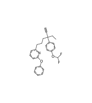 C#CC(CC)(CCCc1cccc(Oc2ccccc2)n1)c1ccc(OC(F)F)cc1